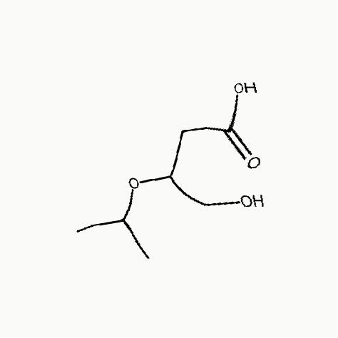 CC(C)OC(CO)CC(=O)O